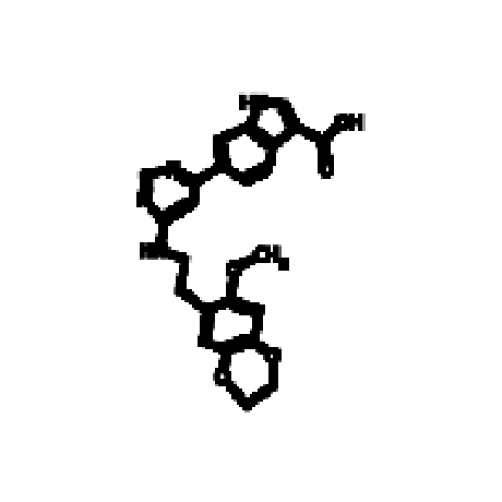 COc1cc2c(cc1CCNc1cc(-c3ccc4c(C(=O)O)c[nH]c4c3)ncn1)OCCO2